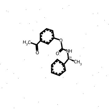 CC(=O)c1cccc(OC(=O)N[C@@H](C)c2ccccc2)c1